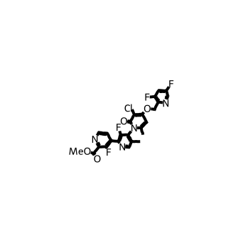 COC(=O)c1nccc(-c2ncc(C)c(-n3c(C)cc(OCc4ncc(F)cc4F)c(Cl)c3=O)c2F)c1F